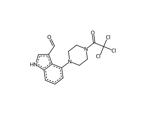 O=Cc1c[nH]c2cccc(N3CCN(C(=O)C(Cl)(Cl)Cl)CC3)c12